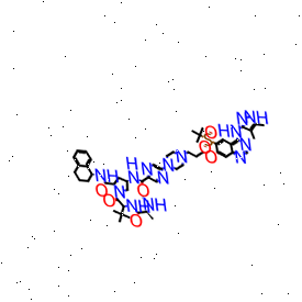 CN[C@@H](C)C(=O)N[C@H](C(=O)N1C[C@@H](NC(=O)c2cnc(N3CCN(CCCOc4cc5ncnc(Nc6n[nH]c(C)c6C)c5cc4S(=O)(=O)C(C)(C)C)CC3)cn2)CC1C(=O)N[C@@H]1CCCc2ccccc21)C(C)(C)C